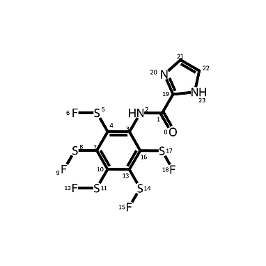 O=C(Nc1c(SF)c(SF)c(SF)c(SF)c1SF)c1ncc[nH]1